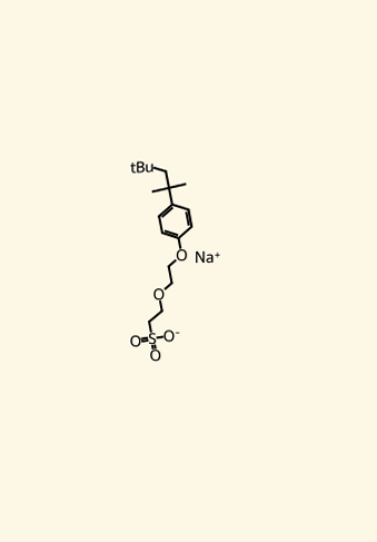 CC(C)(C)CC(C)(C)c1ccc(OCCOCCS(=O)(=O)[O-])cc1.[Na+]